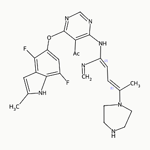 C=N/C(=C\C=C(/C)N1CCNCC1)Nc1ncnc(Oc2cc(F)c3[nH]c(C)cc3c2F)c1C(C)=O